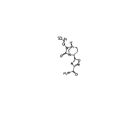 NC(=O)c1noc([C@@H]2CC[C@@H]3CN2C(=O)N3OS(=O)(=O)O)n1